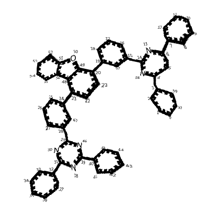 c1ccc(-c2cc(-c3ccccc3)nc(-c3cccc(-c4ccc(-c5cccc(-c6nc(-c7ccccc7)nc(-c7ccccc7)n6)c5)c5c4oc4ccccc45)c3)n2)cc1